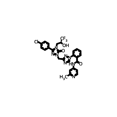 Cc1cc(NC(=O)c2ccccc2-n2cnc(Cn3nc(-c4ccc(Cl)cc4)n(C[C@H](O)C(F)(F)F)c3=O)n2)ccn1